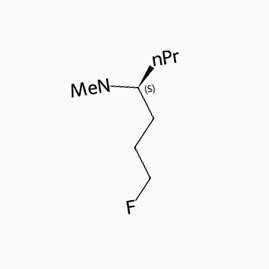 CCC[C@@H](CCCF)NC